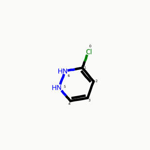 ClC1=CC=CNN1